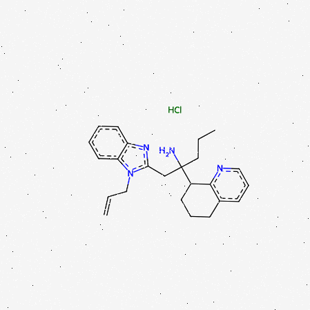 C=CCn1c(CC(N)(CCC)C2CCCc3cccnc32)nc2ccccc21.Cl